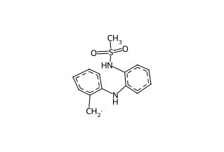 [CH2]c1ccccc1Nc1ccccc1NS(C)(=O)=O